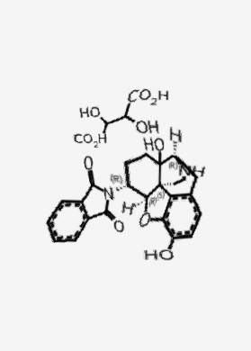 O=C(O)C(O)C(O)C(=O)O.O=C1c2ccccc2C(=O)N1[C@@H]1CCC2(O)[C@H]3Cc4ccc(O)c5c4[C@@]2(CCN3)[C@H]1O5